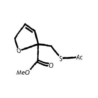 COC(=O)C1(CSC(C)=O)C=CCO1